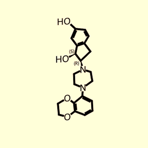 Oc1ccc2c(c1)[C@H](O)[C@H](N1CCN(c3cccc4c3OCCO4)CC1)C2